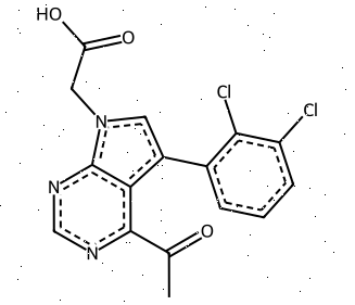 CC(=O)c1ncnc2c1c(-c1cccc(Cl)c1Cl)cn2CC(=O)O